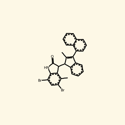 CC1=C(c2cccc3ccccc23)c2ccccc2C1C1C(=O)Nc2c(Br)cc(Br)c(C)c21